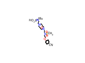 CC(C)(C)N(CCN1CC2CN(CCN(CCOc3ccc(C#N)cc3)S(C)(=O)=O)CC(C1)O2)C(=O)O